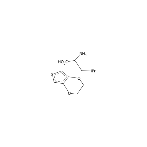 CC(C)CC(N)C(=O)O.c1scc2c1OCCO2